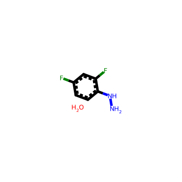 NNc1ccc(F)cc1F.O